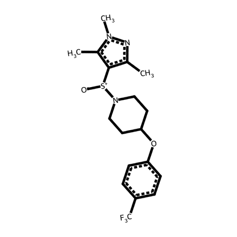 Cc1nn(C)c(C)c1[S+]([O-])N1CCC(Oc2ccc(C(F)(F)F)cc2)CC1